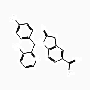 NC(=O)c1ccc2c(c1)CC(=O)N2[C@@H](c1ccc(C(F)(F)F)cc1)c1ncccc1C(F)(F)F